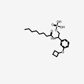 CCCCCCCC(=O)NC(COP(=O)(O)O)c1cccc(OC2CCC2)c1